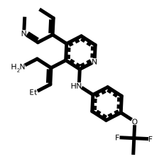 C/C=C(\C=N/C)c1ccnc(Nc2ccc(OC(C)(F)F)cc2)c1/C(=C/CC)CN